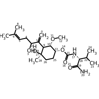 C=C(C(O)CC=C(C)C)C1[C@H](OC)[C@H](OC(=O)N[C@@H](C(N)=O)C(C)C)CC[C@@]1(C)O